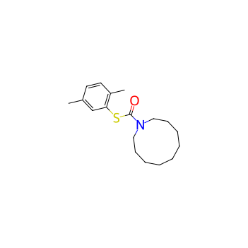 Cc1ccc(C)c(SC(=O)N2CCCCCCCCC2)c1